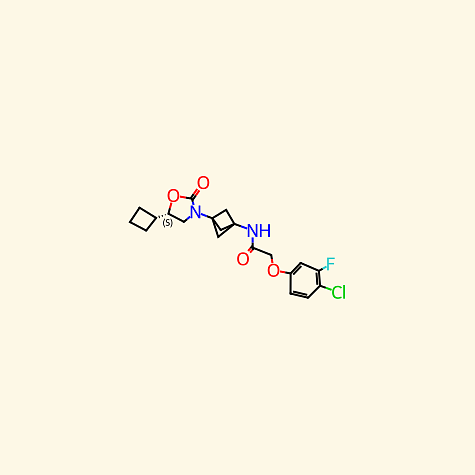 O=C(COc1ccc(Cl)c(F)c1)NC12CC(N3C[C@H](C4CCC4)OC3=O)(C1)C2